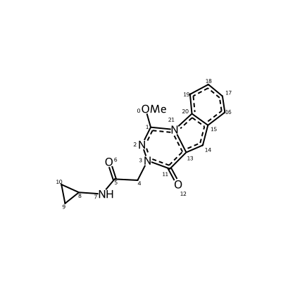 COc1nn(CC(=O)NC2CC2)c(=O)c2cc3ccccc3n12